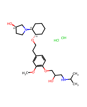 COc1cc(CCO[C@H]2CCCC[C@@H]2N2CC[C@@H](O)C2)ccc1OCC(O)CNC(C)C.Cl.Cl